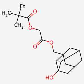 CCC(C)(C)C(=O)OCC(=O)OCC12CC3CC(CC(O)(C3)C1)C2